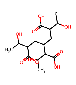 CC(O)C(CC(CC(C(=O)O)C(C)O)C(C(=O)O)C(C)O)C(=O)O